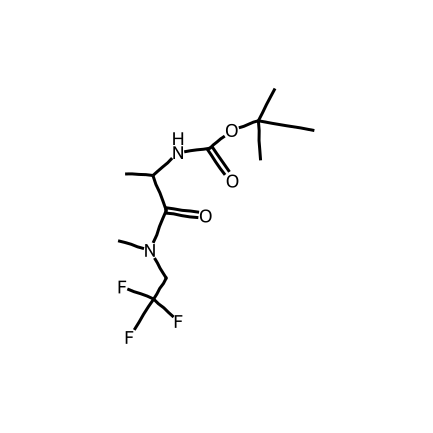 CC(NC(=O)OC(C)(C)C)C(=O)N(C)CC(F)(F)F